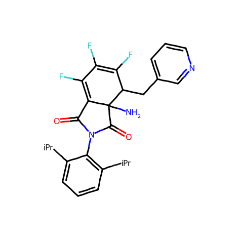 CC(C)c1cccc(C(C)C)c1N1C(=O)C2=C(F)C(F)=C(F)C(Cc3cccnc3)C2(N)C1=O